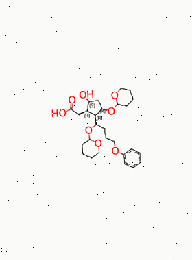 O=C(O)C[C@@H]1[C@H](C(CCCOc2ccccc2)OC2CCCCO2)[C@H](OC2CCCCO2)C[C@@H]1O